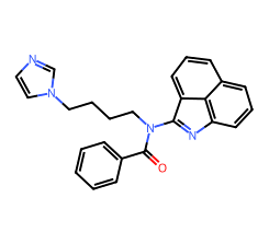 O=C(c1ccccc1)N(CCCCn1ccnc1)C1=Nc2cccc3cccc1c23